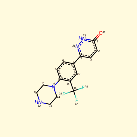 O=c1ccc(-c2ccc(N3CCNCC3)c(C(F)(F)F)c2)n[nH]1